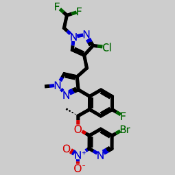 C[C@@H](Oc1cc(Br)cnc1[N+](=O)[O-])c1cc(F)ccc1-c1nn(C)cc1Cc1cn(CC(F)F)nc1Cl